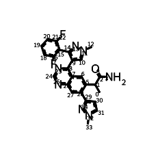 CC(C(N)=O)c1cc2c(-c3cn(C)nc3-c3c(F)cccc3F)ncnc2cc1-c1ccn(C)n1